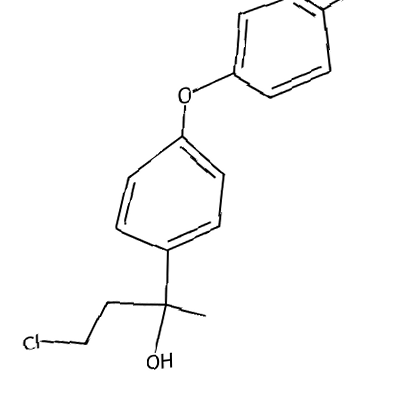 CC(O)(CCCl)c1ccc(Oc2ccc(Br)cc2)cc1